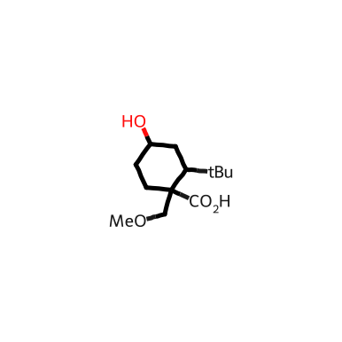 COCC1(C(=O)O)CCC(O)CC1C(C)(C)C